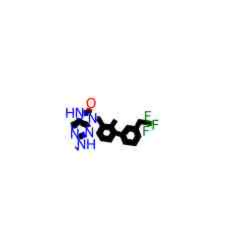 CNc1ncc2[nH]c(=O)n(Cc3cccc(-c4cccc(CC(F)(F)F)c4)c3C)c2n1